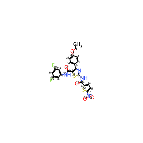 CCOc1ccc(-c2nc(NC(=O)c3ccc([N+](=O)[O-])s3)sc2C(=O)Nc2cc(F)cc(F)c2)cc1